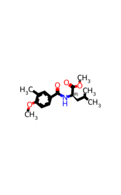 COC(=O)[C@@H](CC(C)C)NC(=O)c1ccc(OC)c(C)c1